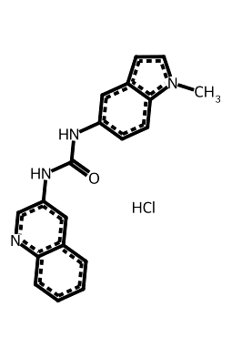 Cl.Cn1ccc2cc(NC(=O)Nc3cnc4ccccc4c3)ccc21